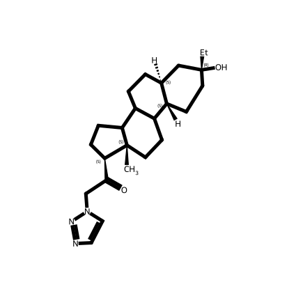 CC[C@@]1(O)CC[C@@H]2C3CC[C@@]4(C)C(CC[C@@H]4C(=O)Cn4ccnn4)C3CC[C@H]2C1